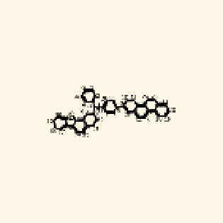 c1ccc(N(c2ccc(-c3ccc4c(ccc5c6ccccc6ccc45)c3)cc2)c2ccc3ccc4c5ccccc5sc4c3c2)cc1